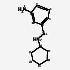 Nc1cccc(SNC2CCCCC2)c1